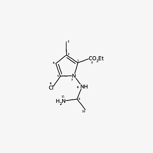 CCOC(=O)c1c(C)cc(Cl)n1NC(C)N